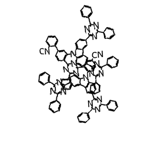 [C-]#[N+]c1ccccc1-c1ccc(-c2nc(-c3ccccc3)nc(-c3cc(C#N)ccc3-n3c4ccc(-c5nc(-c6ccccc6)nc(-c6ccccc6)n5)cc4c4cc(-c5nc(-c6ccccc6)nc(-c6ccccc6)n5)ccc43)n2)c(-n2c3ccc(-c4nc(-c5ccccc5)nc(-c5ccccc5)n4)cc3c3cc(-c4nc(-c5ccccc5)nc(-c5ccccc5)n4)ccc32)c1